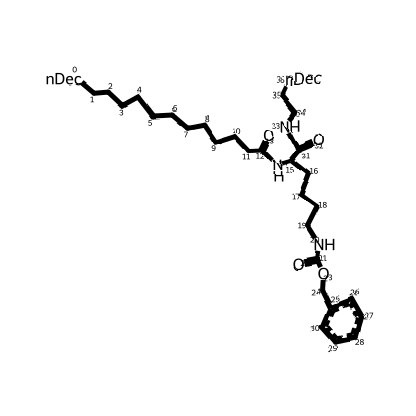 CCCCCCCCCCCCCCCCCCCCCC(=O)NC(CCCCNC(=O)OCc1ccccc1)C(=O)NCCCCCCCCCCCC